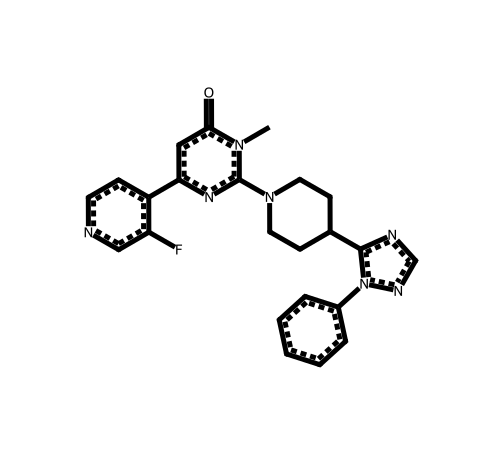 Cn1c(N2CCC(c3ncnn3-c3ccccc3)CC2)nc(-c2ccncc2F)cc1=O